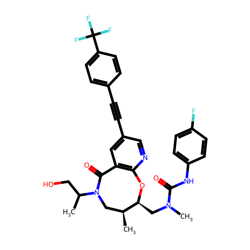 CC(CO)N1C[C@H](C)[C@H](CN(C)C(=O)Nc2ccc(F)cc2)Oc2ncc(C#Cc3ccc(C(F)(F)F)cc3)cc2C1=O